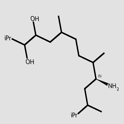 CC(CCC(C)[C@@H](N)CC(C)C(C)C)CC(O)C(O)C(C)C